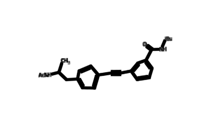 CCC(C)NC(=O)c1cccc(C#Cc2ccc(CC(C)NC(C)=O)cc2)c1